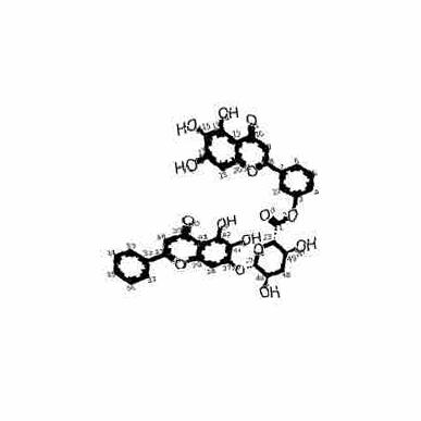 O=C(Oc1cccc(-c2cc(=O)c3c(O)c(O)c(O)cc3o2)c1)[C@H]1O[C@@H](Oc2cc3oc(-c4ccccc4)cc(=O)c3c(O)c2O)[C@H](O)C[C@@H]1O